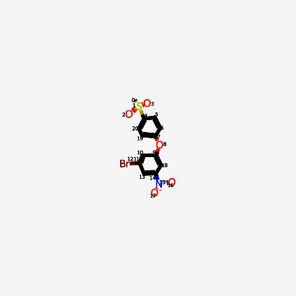 CS(=O)(=O)c1ccc(Oc2cc(Br)cc([N+](=O)[O-])c2)cc1